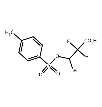 Cc1ccc(S(=O)(=O)OC(C(C)C)C(F)(F)C(=O)O)cc1